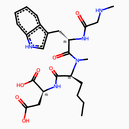 CCCC[C@@H](C(=O)N[C@@H](CC(=O)O)C(=O)O)N(C)C(=O)[C@H](Cc1c[nH]c2ccccc12)NC(=O)CNC